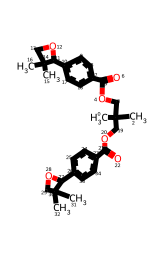 CC(C)(COC(=O)c1ccc(C2OCC2(C)C)cc1)COC(=O)c1ccc(C2OCC2(C)C)cc1